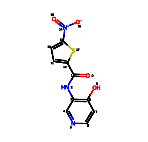 O=C(Nc1cnccc1O)c1ccc([N+](=O)[O-])s1